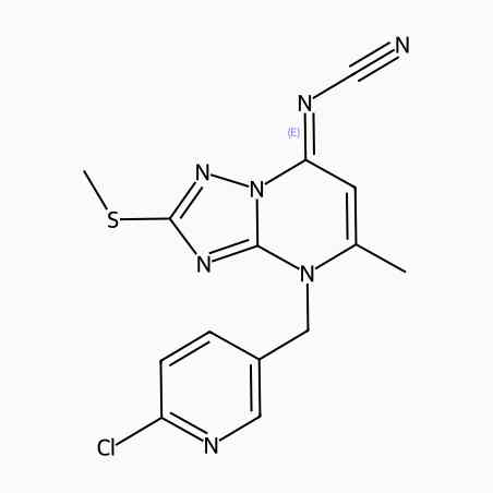 CSc1nc2n(Cc3ccc(Cl)nc3)c(C)c/c(=N\C#N)n2n1